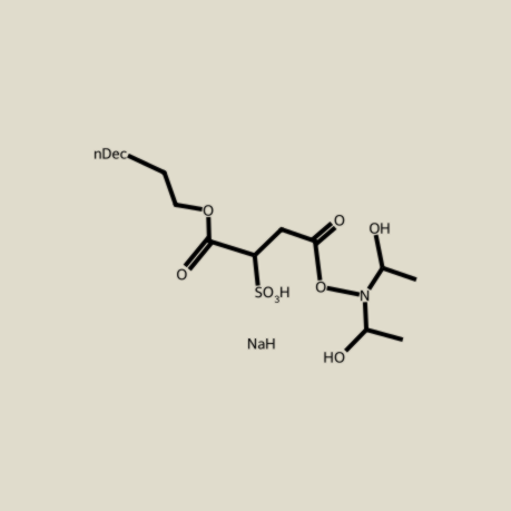 CCCCCCCCCCCCOC(=O)C(CC(=O)ON(C(C)O)C(C)O)S(=O)(=O)O.[NaH]